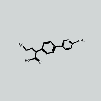 CCCC(C(=O)O)c1ccc(-c2ccc(C)nc2)cc1